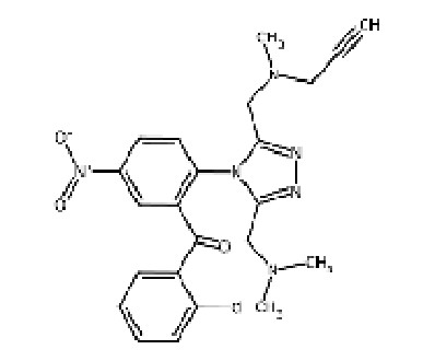 C#CCN(C)Cc1nnc(CN(C)C)n1-c1ccc([N+](=O)[O-])cc1C(=O)c1ccccc1Cl